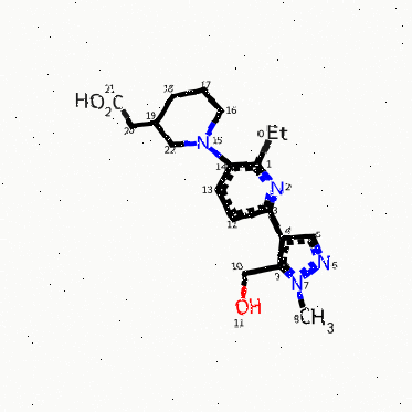 CCc1nc(-c2cnn(C)c2CO)ccc1N1CCCC(CC(=O)O)C1